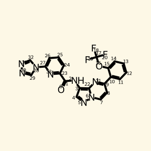 O=C(Nc1cnn2ccc(-c3ccccc3OC(F)(F)F)nc12)c1cccc(-n2cnnc2)n1